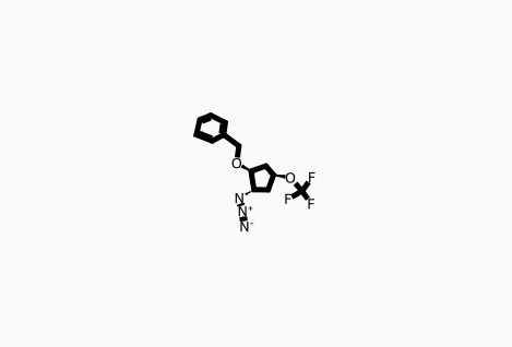 [N-]=[N+]=N[C@H]1C[C@H](OC(F)(F)F)C[C@@H]1OCc1ccccc1